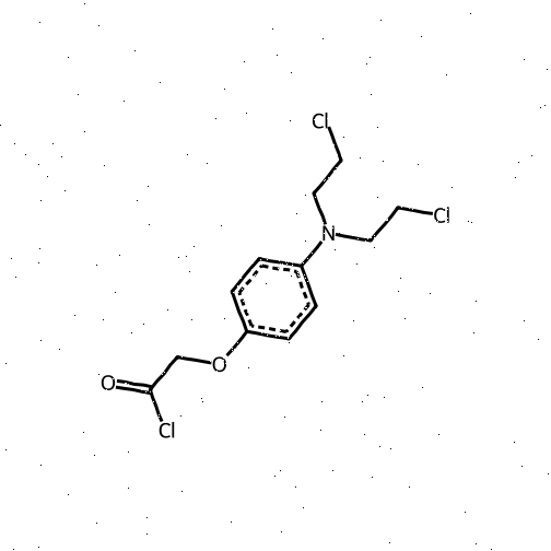 O=C(Cl)COc1ccc(N(CCCl)CCCl)cc1